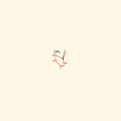 O=C(O)O.OO.[CaH2]